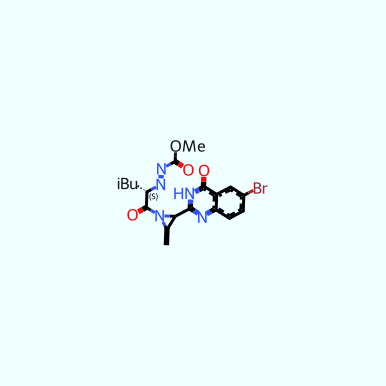 C=C1C(c2nc3ccc(Br)cc3c(=O)[nH]2)N1C(=O)[C@@H](N=NC(=O)OC)C(C)CC